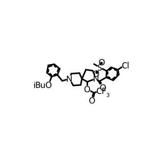 CC(C)COc1ccccc1CN1CCC2(CC1)CCN(C(=O)c1ccc(Cl)cc1S(C)(=O)=O)C2OC(=O)C(F)(F)F